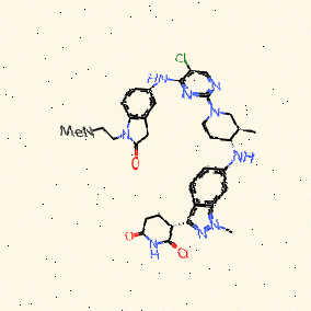 CNCCN1C(=O)Cc2cc(Nc3nc(N4CC[C@@H](Nc5ccc6c([C@H]7CCC(=O)NC7=O)nn(C)c6c5)[C@H](C)C4)ncc3Cl)ccc21